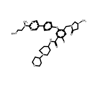 COCCN(C)c1ncc(-c2ccc(Oc3cc(C(=O)NC4CCN(C5CCOCC5)CC4)c(F)cc3CN3C[C@@H](C)CC3=O)cc2)cn1